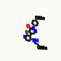 COCCNc1ccnc2sc3c(=O)n(-c4ccc(OC)cc4)ncc3c12